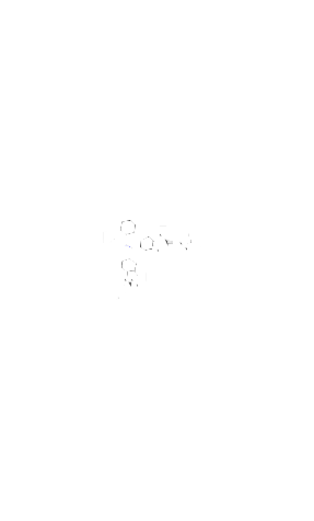 O=C(O)N1CCC[C@@H](Nc2ccc(/C(=C(/CC(F)(F)F)c3ccccc3)c3ccc4c(c3)c(F)nn4C3CCCCO3)cn2)C1